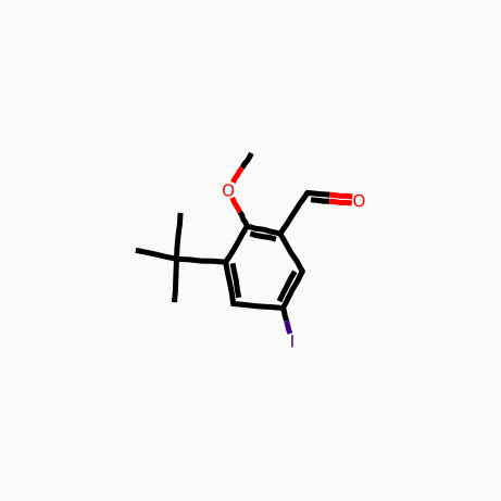 COc1c(C=O)cc(I)cc1C(C)(C)C